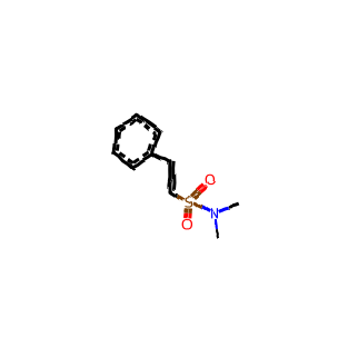 CN(C)S(=O)(=O)/C=C/c1ccccc1